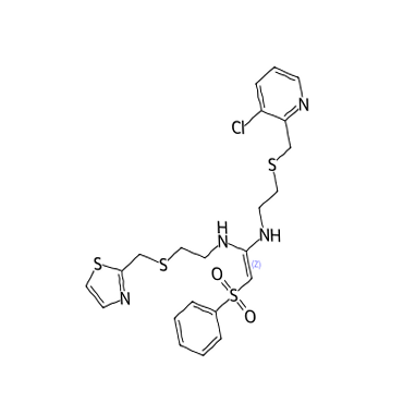 O=S(=O)(/C=C(\NCCSCc1nccs1)NCCSCc1ncccc1Cl)c1ccccc1